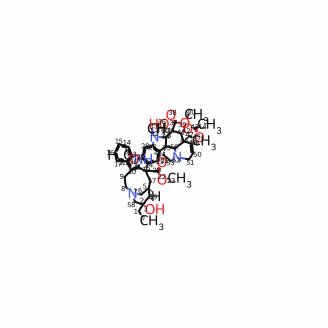 CC[C@]1(O)C[C@H]2CN(CCc3c([nH]c4ccccc34)[C@@](C(=O)OC)(c3cc4c(cc3OC)N(C)[C@H]3[C@@](O)(C(=O)OC)[C@H](OC(C)=O)[C@]5(CC)C=CCN6CC[C@]43C65)C2)C1